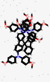 COc1ccc(N(c2ccc(OC)cc2)c2ccc3c(c2)C2(C4=CC(N(c5ccc(OC)cc5)c5ccc(OC)cc5)(N(c5ccc(OC)cc5)c5ccc(OC)cc5)CC=C43)c3ccccc3-c3ccc(N(c4ccc(OC)cc4)c4ccc(OC)cc4)cc32)cc1